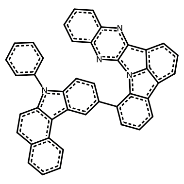 c1ccc(-n2c3ccc(-c4cccc5c6cccc7c8nc9ccccc9nc8n(c45)c67)cc3c3c4ccccc4ccc32)cc1